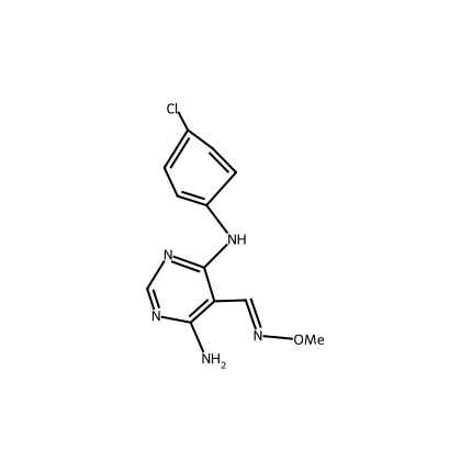 CO/N=C/c1c(N)ncnc1Nc1ccc(Cl)cc1